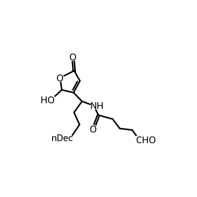 CCCCCCCCCCCCC(NC(=O)CCCC=O)C1=CC(=O)OC1O